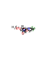 COCOC[C@@H]1[C@@H]2CC[C@@H]([C@H](Oc3ccc(C(F)(F)F)cn3)C2)N1C=O